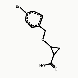 O=C(O)C1CC1OCc1ccc(Br)cc1